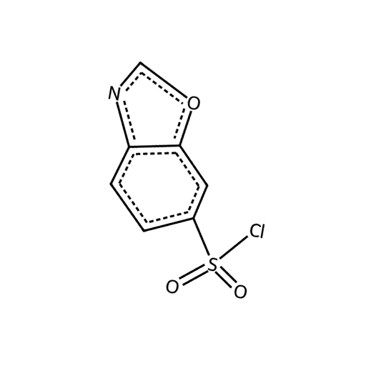 O=S(=O)(Cl)c1ccc2ncoc2c1